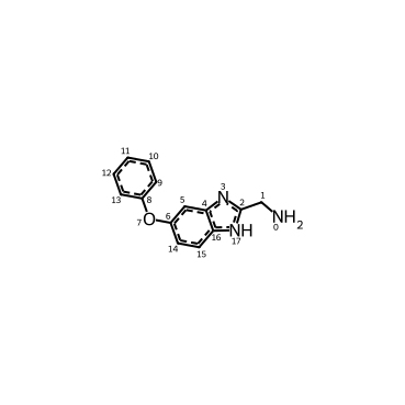 NCc1nc2cc(Oc3ccccc3)ccc2[nH]1